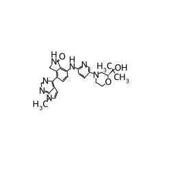 Cn1ccc2c(-c3ccc(Nc4ccc(N5CCO[C@H](C(C)(C)O)C5)cn4)c4c3CNC4=O)ncnc21